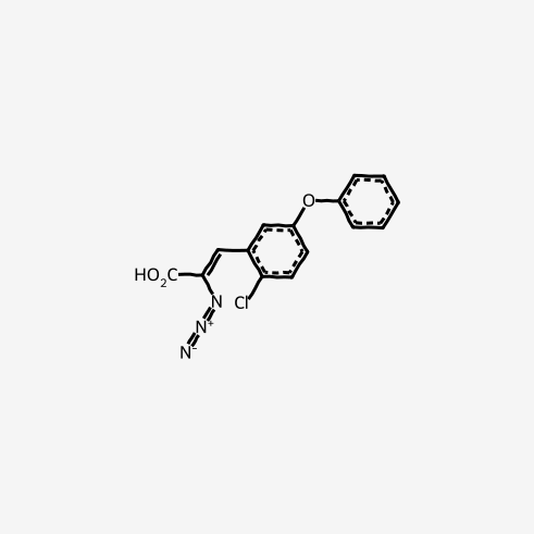 [N-]=[N+]=N/C(=C\c1cc(Oc2ccccc2)ccc1Cl)C(=O)O